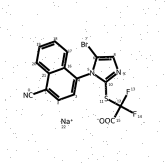 N#Cc1ccc(-n2c(Br)cnc2SC(F)(F)C(=O)[O-])c2ccccc12.[Na+]